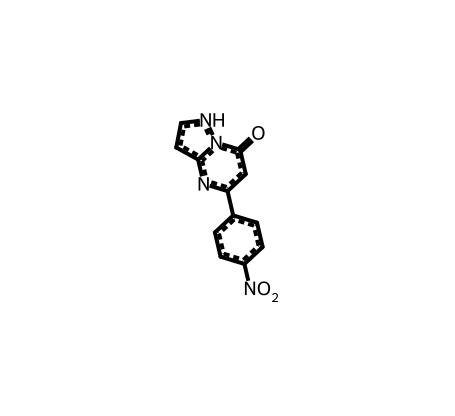 O=c1cc(-c2ccc([N+](=O)[O-])cc2)nc2cc[nH]n12